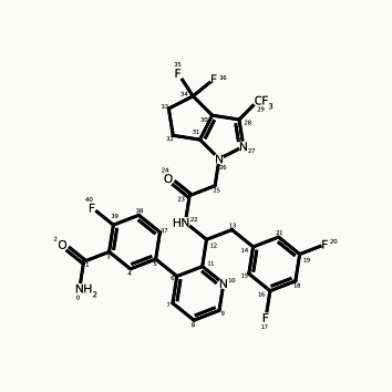 NC(=O)c1cc(-c2cccnc2C(Cc2cc(F)cc(F)c2)NC(=O)Cn2nc(C(F)(F)F)c3c2CCC3(F)F)ccc1F